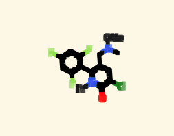 CCn1c(-c2c(F)cc(F)cc2F)c(CN(C)OC)cc(Cl)c1=O